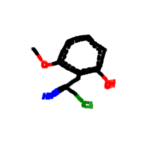 COc1cccc(O)c1C(=N)Cl